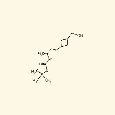 CC(COC1CC(CO)C1)NC(=O)OC(C)(C)C